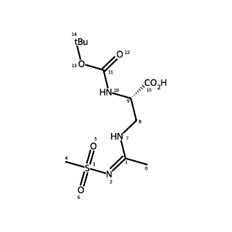 C/C(=N/S(C)(=O)=O)NC[C@H](NC(=O)OC(C)(C)C)C(=O)O